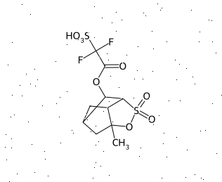 CC12CC3CC1C(C3OC(=O)C(F)(F)S(=O)(=O)O)S(=O)(=O)O2